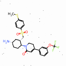 CSc1ccc(S(=O)(=O)C[C@H]2C[C@@H](N)CC[C@@H]2N2CCC(c3cccc(OC(F)(F)F)c3)=CC2=O)cc1